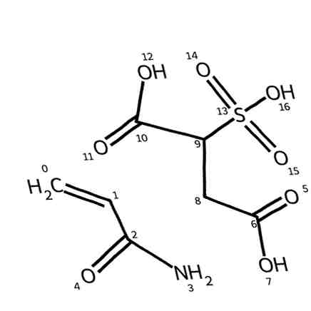 C=CC(N)=O.O=C(O)CC(C(=O)O)S(=O)(=O)O